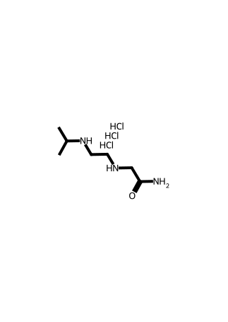 CC(C)NCCNCC(N)=O.Cl.Cl.Cl